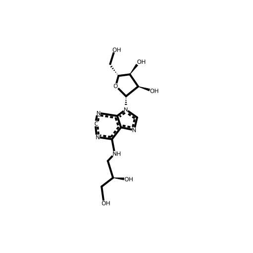 OC[C@H](O)CNc1ncnc2c1ncn2[C@@H]1O[C@H](CO)[C@@H](O)[C@H]1O